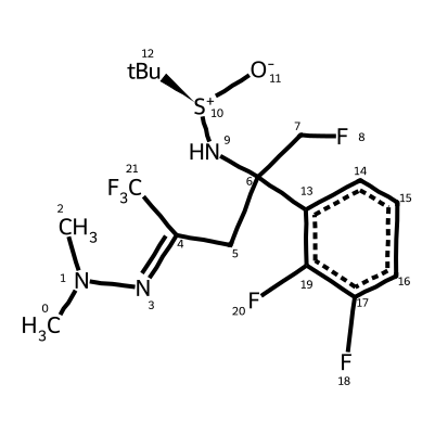 CN(C)/N=C(/CC(CF)(N[S@+]([O-])C(C)(C)C)c1cccc(F)c1F)C(F)(F)F